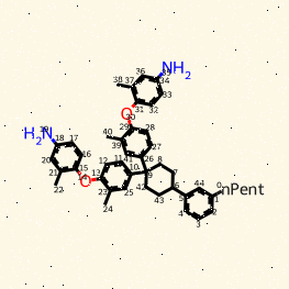 CCCCCc1cccc(C2CCC(c3ccc(Oc4ccc(N)cc4C)c(C)c3)(c3ccc(Oc4ccc(N)cc4C)c(C)c3)CC2)c1